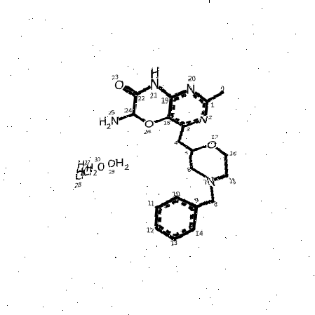 Cc1nc(CC2CN(Cc3ccccc3)CCO2)c2c(n1)NC(=O)C(N)O2.Cl.Cl.O.O